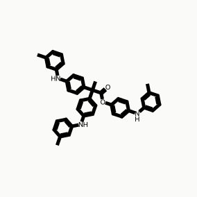 Cc1cccc(Nc2ccc(OC(=O)C(C)(c3ccc(Nc4cccc(C)c4)cc3)c3ccc(Nc4cccc(C)c4)cc3)cc2)c1